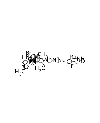 CCc1cc(Nc2ncc(Br)c(Nc3ccc4nc(C)ccc4c3[PH]3(O)CCCC3)n2)c(OC)cc1N1CCC(N2CCN(CCc3cc(F)c(C4CCC(=O)NC4=O)c(F)c3)CC2)CC1